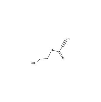 C#CC(=O)OCCCCCC